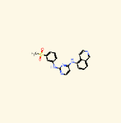 CS(=O)(=O)c1cccc(Nc2nccc(Nc3cccc4cnccc34)n2)c1